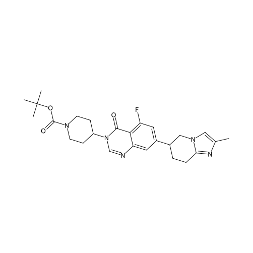 Cc1cn2c(n1)CCC(c1cc(F)c3c(=O)n(C4CCN(C(=O)OC(C)(C)C)CC4)cnc3c1)C2